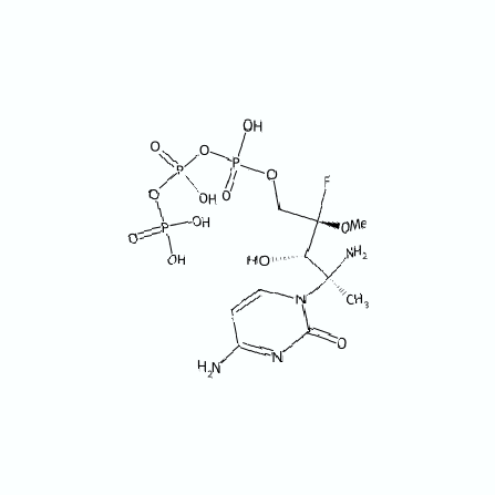 CO[C@](F)(COP(=O)(O)OP(=O)(O)OP(=O)(O)O)[C@@H](O)[C@@](C)(N)n1ccc(N)nc1=O